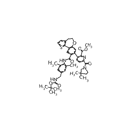 COC(=O)c1nc(C(=O)N2CCC(C)(C)C2)ccc1-c1cc2c(cc1C(=O)Nc1c(C)cc(CNC(=O)OC(C)(C)C)cc1C)-c1sccc1CCO2